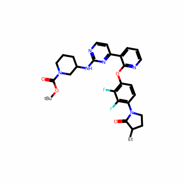 CCC1CCN(c2ccc(Oc3ncccc3-c3ccnc(NC4CCCN(C(=O)OC(C)(C)C)C4)n3)c(F)c2F)C1=O